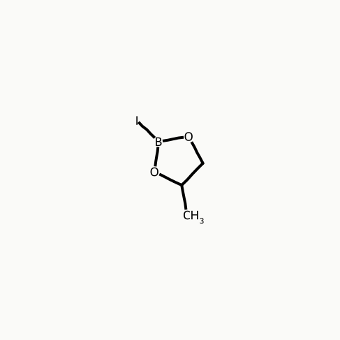 CC1COB(I)O1